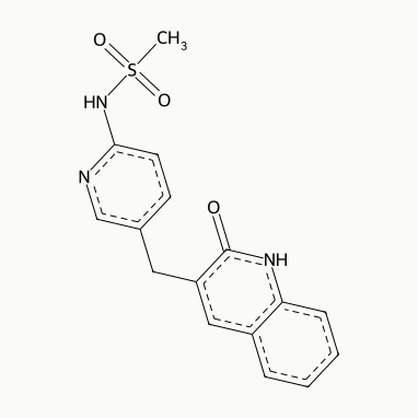 CS(=O)(=O)Nc1ccc(Cc2cc3ccccc3[nH]c2=O)cn1